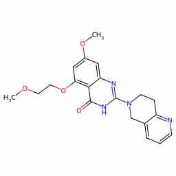 COCCOc1cc(OC)cc2nc(N3CCc4ncccc4C3)[nH]c(=O)c12